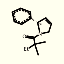 CCC(C)(C)C(=O)N1CC=C[C@H]1c1ccccc1